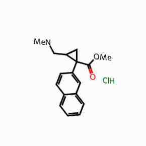 CNCC1CC1(C(=O)OC)c1ccc2ccccc2c1.Cl